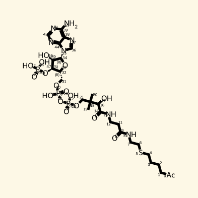 CC(=O)CCCCSCCNC(=O)CCNC(=O)C(O)C(C)(C)COP(=O)(O)OP(=O)(O)OC[C@H]1O[C@@H](n2cnc3c(N)ncnc32)[C@H](O)[C@@H]1OP(=O)(O)O